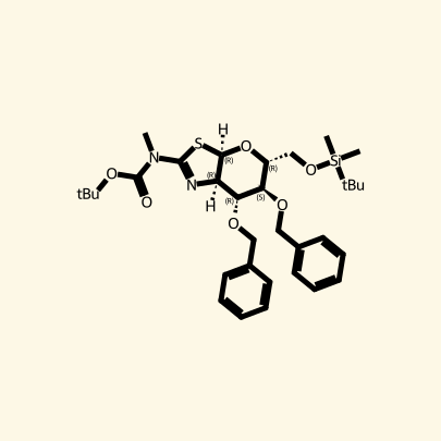 CN(C(=O)OC(C)(C)C)C1=N[C@@H]2[C@@H](OCc3ccccc3)[C@H](OCc3ccccc3)[C@@H](CO[Si](C)(C)C(C)(C)C)O[C@@H]2S1